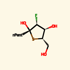 CCCCC[C@]1(O)S[C@@H](CO)[C@@H](O)[C@H]1F